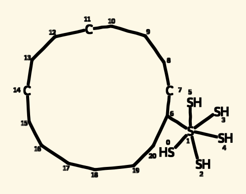 SS(S)(S)(S)(S)C1CCCCCCCCCCCCCC1